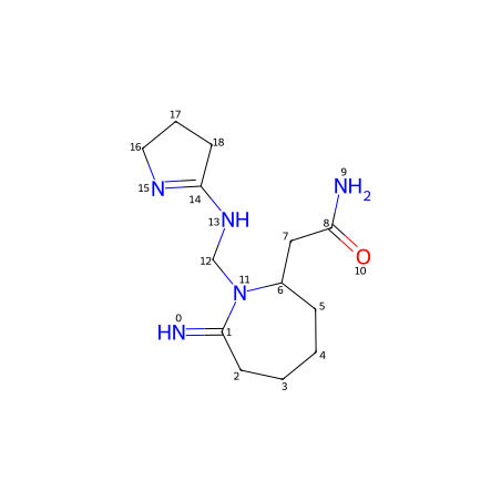 N=C1CCCCC(CC(N)=O)N1CNC1=NCCC1